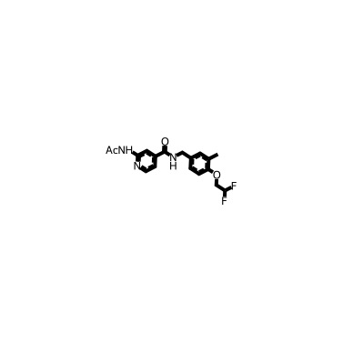 CC(=O)Nc1cc(C(=O)NCc2ccc(OCC(F)F)c(C)c2)ccn1